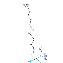 CCCCCCCCCC(CC(F)(F)F)N=[N+]=[N-]